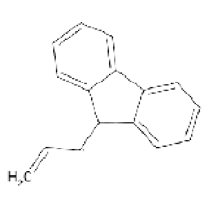 C=C[CH]C1c2ccccc2-c2ccccc21